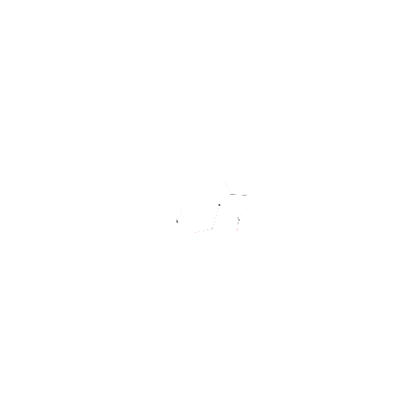 CC(C)C1(C(=O)O)COC(C)(C)OC1